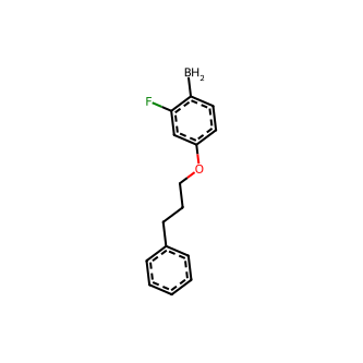 Bc1ccc(OCCCc2ccccc2)cc1F